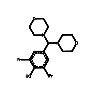 CC(C)c1cc(C(N2CCOCC2)N2CCOCC2)cc(C(C)C)c1O